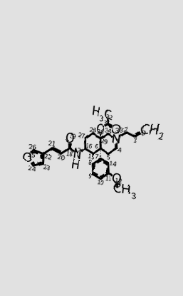 C=CCN1CC[C@@]2(c3cccc(OC)c3)C[C@@H](NC(=O)C=Cc3ccoc3)CC[C@]2(OC(C)=O)C1